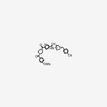 COc1ccc(C(=O)C2CCN(C(=O)c3ccc(C(=O)N[C@H]4CCN(Cc5ccc(C#N)cc5)C[C@@H]4F)cn3)CC2)cc1